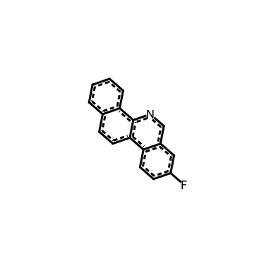 Fc1ccc2c(cnc3c4ccccc4ccc23)c1